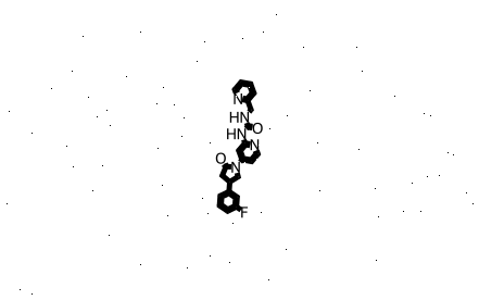 O=C(NCc1ccccn1)Nc1cc(N2CC(c3cccc(F)c3)CC2=O)ccn1